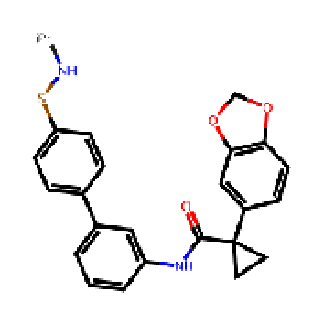 CC(C)NSc1ccc(-c2cccc(NC(=O)C3(c4ccc5c(c4)OCO5)CC3)c2)cc1